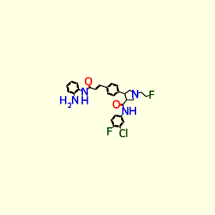 Nc1ccccc1NC(=O)/C=C/c1ccc(C2CN(CCF)CC2C(=O)Nc2ccc(F)c(Cl)c2)cc1